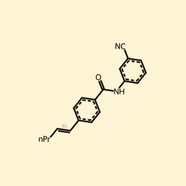 CCC/C=C/c1ccc(C(=O)Nc2cccc(C#N)c2)cc1